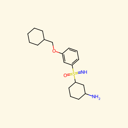 N=S(=O)(c1cccc(OCC2CCCCC2)c1)C1CCCC(N)C1